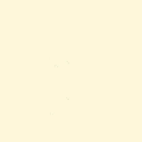 CC(C)(C)OC(=O)CN1CCC(SCc2nc3cc(OCC4CCOCC4)cc(F)c3c(=O)[nH]2)CC1